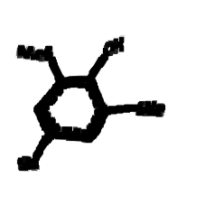 CSc1cc(C(C)(C)C)cc(SC)c1O